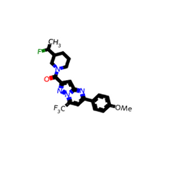 COc1ccc(-c2cc(C(F)(F)F)n3nc(C(=O)N4CCCC(C(C)F)C4)cc3n2)cc1